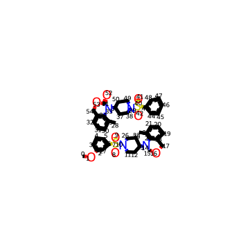 COc1cccc(S(=O)(=O)N2CCC(N3COCc4cccc(C)c43)CC2)c1.Cc1cccc2c1N(C1CCN(S(=O)(=O)c3ccccc3)CC1)C(=O)OC2